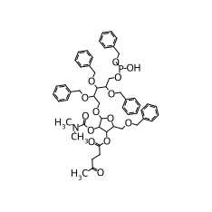 CC(=O)CCC(=O)OC1C(COCc2ccccc2)OC(OCC(OCc2ccccc2)C(OCc2ccccc2)C(COP(O)OCc2ccccc2)OCc2ccccc2)C1OC(=O)N(C)C